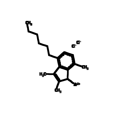 CCCCCCc1ccc(C)c2c1C(C)=C(C)[CH]2[Zr+2].[Cl-].[Cl-]